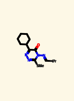 CSc1nnc(C2CCCCC2)c(=O)n1N=CC(C)C